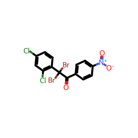 O=C(c1ccc([N+](=O)[O-])cc1)C(Br)(Br)c1ccc(Cl)cc1Cl